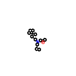 c1ccc(C2(c3cccc(-c4ccc(N(c5ccc(-c6cccc7ccccc67)cc5)c5ccc6c(c5)oc5ccccc56)cc4)c3)c3cccc4ccc5cccc2c5c34)cc1